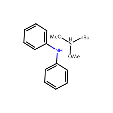 CCCC[SiH](OC)OC.c1ccc(Nc2ccccc2)cc1